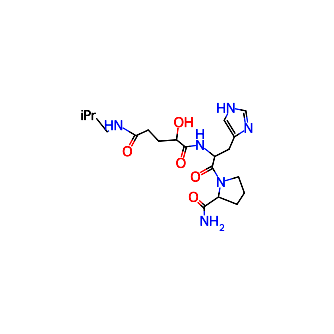 CC(C)CNC(=O)CCC(O)C(=O)NC(Cc1c[nH]cn1)C(=O)N1CCCC1C(N)=O